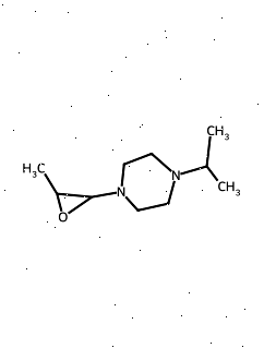 CC1OC1N1CCN(C(C)C)CC1